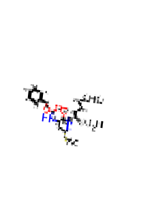 CC(=O)SCCC(NC(=O)OCc1ccccc1)C(=O)NC(CCCC=O)C(=O)O